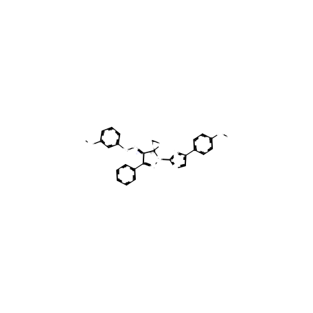 COc1ccc(-c2csc(N3N=C(c4ccccc4)/C(=N\Nc4cccc(OC)c4)[C@@]34CO4)n2)cc1